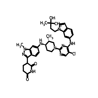 C[C@@H]1CN(c2ncc(Cl)c(Nc3ccc4ccn(CCC(C)(C)O)c4c3)n2)CC[C@H]1Nc1ccc2c(C3CCC(=O)NC3=O)nn(C)c2c1